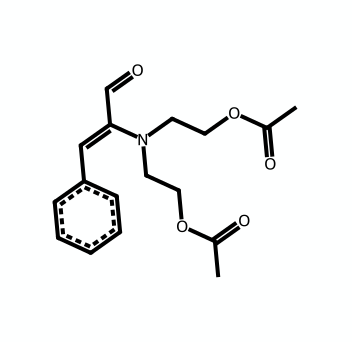 CC(=O)OCCN(CCOC(C)=O)C(C=O)=Cc1ccccc1